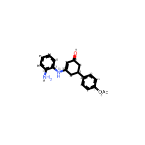 CC(=O)Oc1ccc(C2CC(=O)C=C(Nc3ccccc3N)C2)cc1